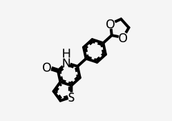 O=c1[nH]c(-c2ccc(C3OCCO3)cc2)cc2sccc12